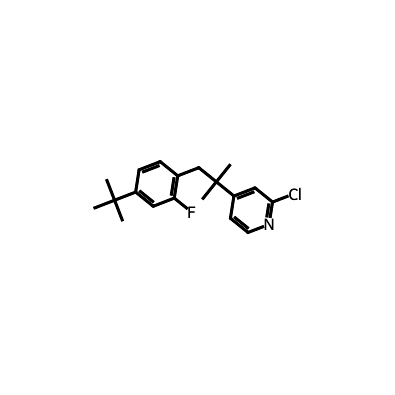 CC(C)(C)c1ccc(CC(C)(C)c2ccnc(Cl)c2)c(F)c1